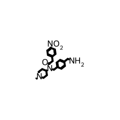 CN1CCC(N(Cc2ccc(CN)cc2)C(=O)Cc2ccc([N+](=O)[O-])cc2)CC1